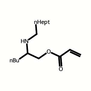 C=CC(=O)OCC(CCCC)NCCCCCCCC